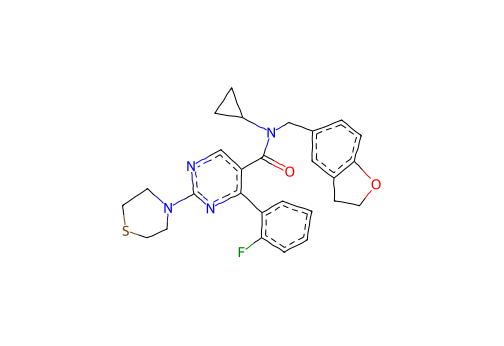 O=C(c1cnc(N2CCSCC2)nc1-c1ccccc1F)N(Cc1ccc2c(c1)CCO2)C1CC1